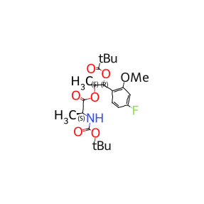 COc1cc(F)ccc1[C@@H](OC(=O)C(C)(C)C)[C@H](C)OC(=O)[C@H](C)NC(=O)OC(C)(C)C